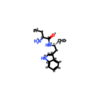 CC(C)C[C@H](N)C(=O)N[C@H]([C]=O)Cc1c[nH]c2ccccc12